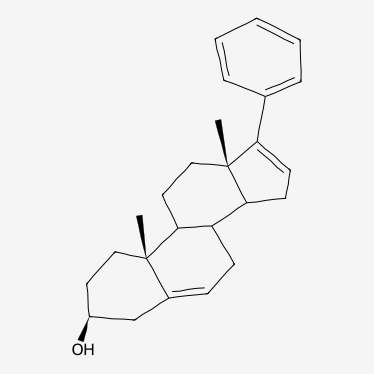 C[C@]12CC[C@H](O)CC1=CCC1C2CC[C@]2(C)C(c3ccccc3)=CCC12